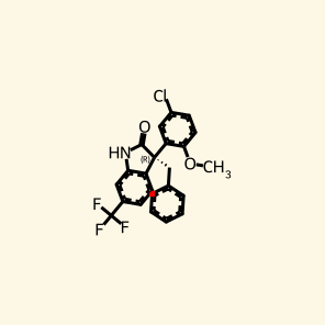 COc1ccc(Cl)cc1[C@]1(Cc2ccccc2)C(=O)Nc2cc(C(F)(F)F)ccc21